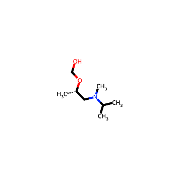 CC(C)N(C)C[C@H](C)OCO